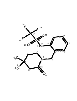 CC1(C)CCN(Cc2ccccc2NS(=O)(=O)C(F)(F)F)C(=O)C1